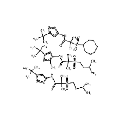 CC(C)(C)c1cc(NC(=O)C(C)(C)S(=O)(=O)C2CCCCCC2)no1.CC(C)CCS(=O)(=O)C(C)(C)C(=O)Nc1cc(C(C)(C)C)nn1C.CC(C)CCS(=O)(=O)C(C)(C)C(=O)Nc1cc(C(C)(C)C)on1